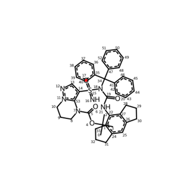 CC(C)(C)OC(=O)N1CCCn2ncc(S(=N)(=O)N(C(=O)Nc3c4c(cc5c3CCC5)CCC4)C(c3ccccc3)(c3ccccc3)c3ccccc3)c21